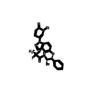 CCn1cc(-n2ncc3cc(O[C@H](c4ccccc4)[C@@H](NC(=O)C(C)(F)F)C(C)C)ccc32)ccc1=O